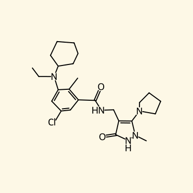 CCN(c1cc(Cl)cc(C(=O)NCc2c(N3CCCC3)n(C)[nH]c2=O)c1C)C1CCCCC1